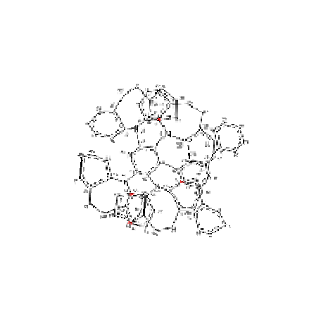 c1ccc(-c2cc(-c3c(N4c5ccccc5CCc5ccccc54)c(N4c5ccccc5CCc5ccccc54)nc(N4c5ccccc5CCc5ccccc54)c3N3c4ccccc4CCc4ccccc43)cc(-c3ccccc3)n2)cc1